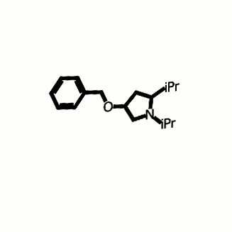 CC(C)C1CC(OCc2ccccc2)CN1C(C)C